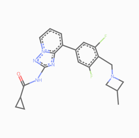 CC1CN(Cc2c(F)cc(-c3cccn4nc(NC(=O)C5CC5)nc34)cc2F)C1